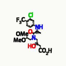 COC(CN(C[C@@H](O)CC(=O)O)C(=O)[C@H](C)Nc1ccc(C(F)(F)F)c(Cl)c1)OC